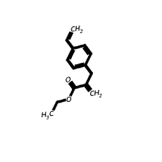 C=Cc1ccc(CC(=C)C(=O)OCC)cc1